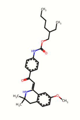 CCCCC(CC)COC(=O)Nc1ccc(C(=O)C=C2NC(C)(C)Cc3ccc(OC)cc32)cc1